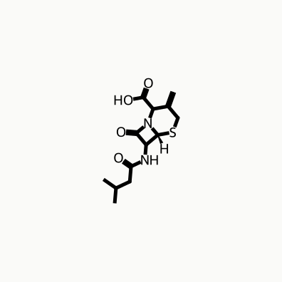 C=C1CS[C@@H]2C(NC(=O)CC(C)C)C(=O)N2C1C(=O)O